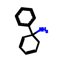 NC1(c2ccccc2)C=CC=CC1